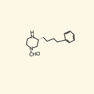 O=CN1CCN[C@H](CCCCc2ccccc2)C1